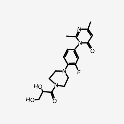 Cc1cc(=O)n(-c2ccc(N3CCN(C(=O)C(O)CO)CC3)c(F)c2)c(C)n1